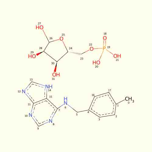 Cc1ccc(CNc2ncnc3nc[nH]c23)cc1.O=P(O)(O)OC[C@H]1OC(O)[C@H](O)[C@@H]1O